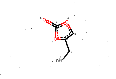 CCCCc1coc(=O)o1